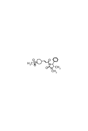 C[C@H]1C(c2ccccc2)N(C(=O)/C=C/C2CCN(S(C)(=O)=O)CC2)C(=O)N1C